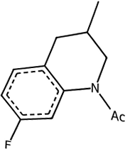 CC(=O)N1CC(C)Cc2ccc(F)cc21